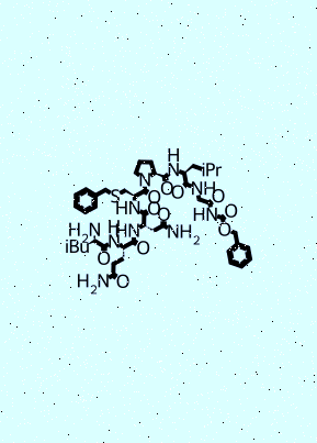 CC[C@H](C)[C@H](N)C(=O)N[C@@H](CCC(N)=O)C(=O)N[C@@H](CC(N)=O)C(=O)N[C@@H](CSCc1ccccc1)C(=O)N1CCC[C@H]1C(=O)N[C@@H](CC(C)C)C(=O)NCC(=O)NC(=O)OCc1ccccc1